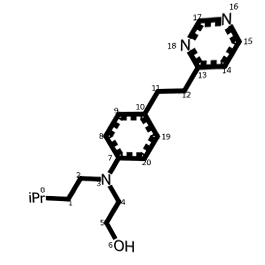 CC(C)CCN(CCO)c1ccc(CCc2ccncn2)cc1